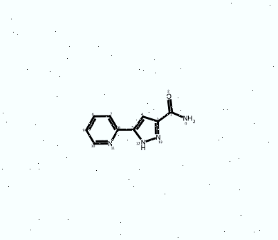 NC(=O)c1cc(-c2ccccn2)[nH]n1